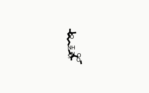 CCOC(=O)c1nc(CNCCCc2cc(C)c(C)o2)sc1C